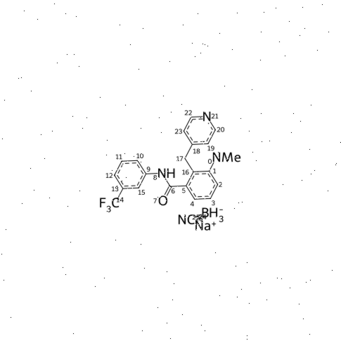 CNc1cccc(C(=O)Nc2cccc(C(F)(F)F)c2)c1Cc1ccncc1.[BH3-]C#N.[Na+]